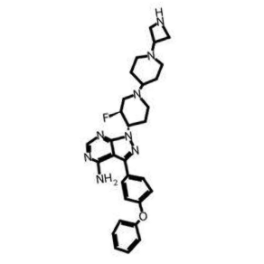 Nc1ncnc2c1c(-c1ccc(Oc3ccccc3)cc1)nn2[C@H]1CCN(C2CCN(C3CNC3)CC2)C[C@@H]1F